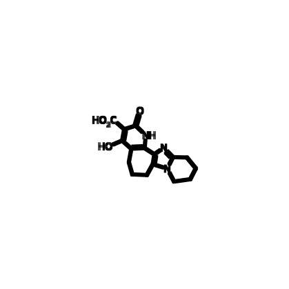 O=C(O)c1c(O)c2c([nH]c1=O)-c1nc3n(c1CCC2)CCCC3